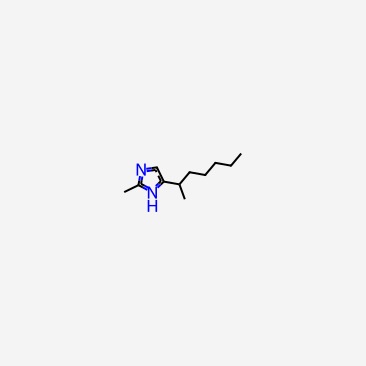 CCCCCC(C)c1cnc(C)[nH]1